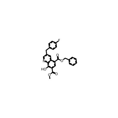 COC(=O)c1cc(C(=O)OCc2ccccc2)c2cc(Cc3ccc(F)cc3)cnc2c1O